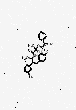 CC(=O)O[C@@H](C(=O)OC(C)(C)C(=O)NC(C)C(Cc1ccc(Cl)cc1)c1cccc(C#N)c1)c1ccccc1